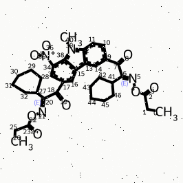 CCC(=O)O/N=C(/C(=O)c1ccc2c(c1)c1cc(C(=O)/C(=N/OC(=O)CC)C3CCCCC3)cc([N+](=O)[O-])c1n2C)C1CCCCC1